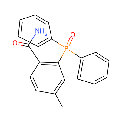 Cc1ccc(C(N)=O)c(P(=O)(c2ccccc2)c2ccccc2)c1